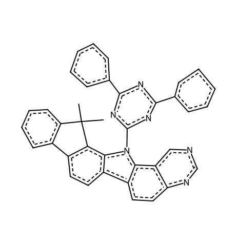 CC1(C)c2ccccc2-c2ccc3c4ccc5ncncc5c4n(-c4nc(-c5ccccc5)nc(-c5ccccc5)n4)c3c21